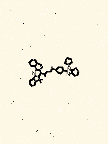 C/C(=C\C=C(/C)c1c2c(nc3c1ccc1ccccc13)-c1ccccc1C2(C)C)c1ccc(-c2nc3ccccc3n2-c2ccccc2)cc1